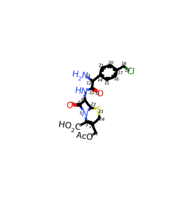 CC(=O)OCC1=C(C(=O)O)N2C(=O)C(NC(=O)C(N)c3ccc(CCl)cc3)C2SC1